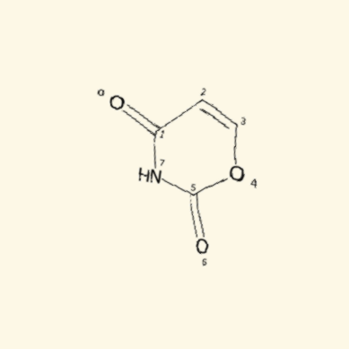 O=c1ccoc(=O)[nH]1